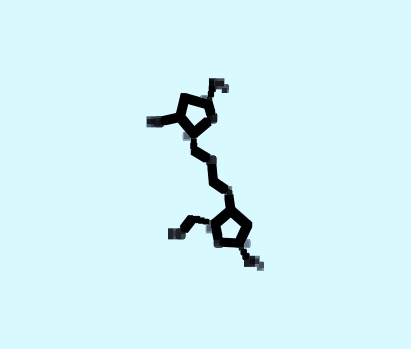 B[C@H]1CC(O)[C@@H](COCSC2C[C@H](B)O[C@@H]2CO)O1